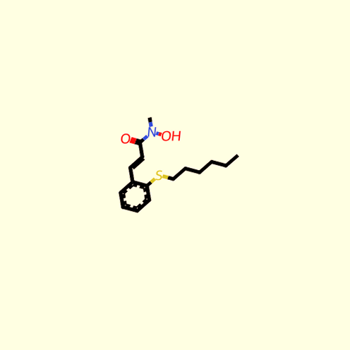 CCCCCCSc1ccccc1C=CC(=O)N(C)O